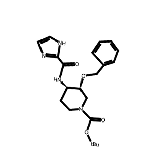 CC(C)(C)OC(=O)N1CC[C@@H](NC(=O)c2ncc[nH]2)[C@@H](OCc2ccccc2)C1